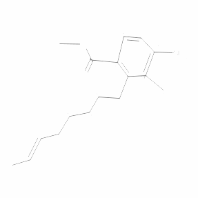 CC=CCCCCCc1c(C(=O)OC)ccc(N)c1C